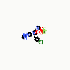 O=C(O[C@H]1CCN(C[C@H]2CN(C3CCN(c4ncccn4)CC3)[C@@H](Cc3ccc(Cl)cc3)CO2)C1)C(F)(F)F